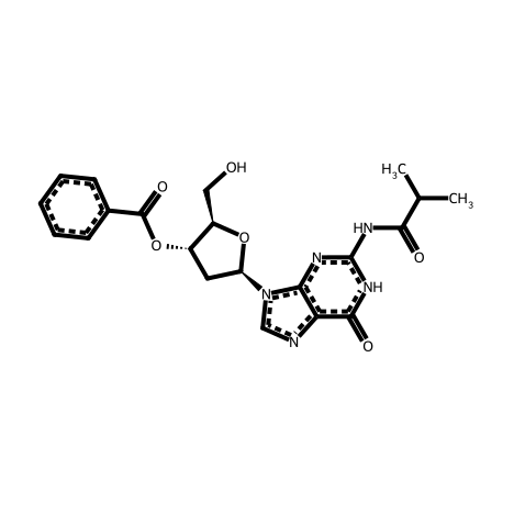 CC(C)C(=O)Nc1nc2c(ncn2[C@H]2C[C@H](OC(=O)c3ccccc3)[C@@H](CO)O2)c(=O)[nH]1